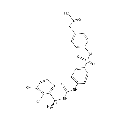 C[C@H](NC(=O)Nc1ccc(S(=O)(=O)Nc2ccc(CC(=O)O)cc2)cc1)c1cccc(Cl)c1Cl